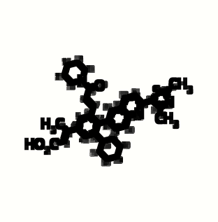 C/C(=C\C(=O)O)c1cc(/C=C/C(=O)N2CCCCC2)c(-c2ccc3nc(-c4sc(C)nc4C)ccc3c2)c(C2CCCCC2)c1